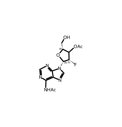 CC(=O)Nc1ncnc2c1ncn2[C@@H]1O[C@H](CO)C(OC(C)=O)[C@@H]1F